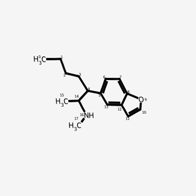 CCCCC(c1ccc2occc2c1)C(C)NC